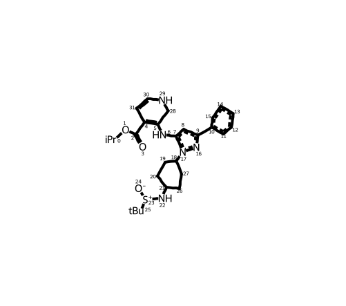 CC(C)OC(=O)C1=C(Nc2cc(-c3ccccc3)nn2C2CCC(N[S+]([O-])C(C)(C)C)CC2)CNC=C1